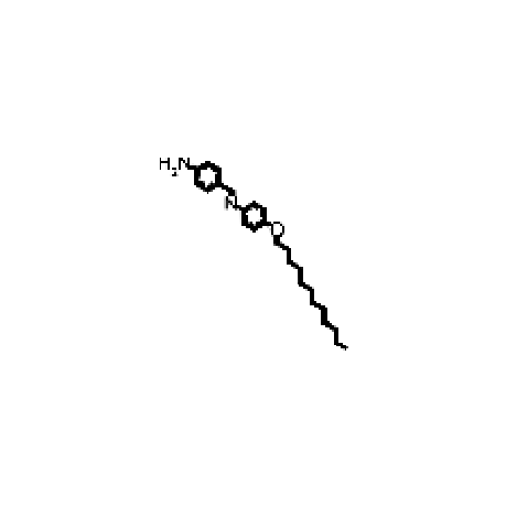 CCCCCCCCCCCCOc1ccc(N=Cc2ccc(N)cc2)cc1